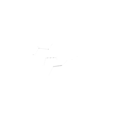 CCC[O-].CCC[O-].CCC[O-].[Cr+3]